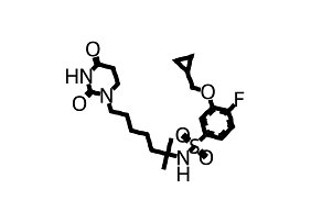 CC(C)(CCCCCN1CCC(=O)NC1=O)NS(=O)(=O)c1ccc(F)c(OCC2CC2)c1